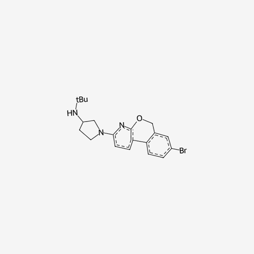 CC(C)(C)NC1CCN(c2ccc3c(n2)OCc2cc(Br)ccc2-3)C1